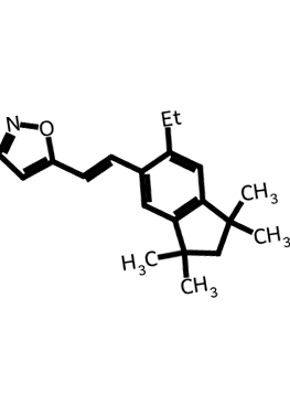 CCc1cc2c(cc1C=Cc1ccno1)C(C)(C)CC2(C)C